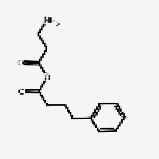 NCCC(=O)OC(=O)CCCc1ccccc1